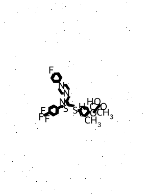 Cc1cc(SCc2sc(-c3ccc(C(F)(F)F)cc3)nc2CN2CCN(c3ccc(F)cc3)CC2)ccc1OC(C)(C)C(=O)O